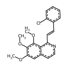 COc1cc2ccnc(C=Cc3ccccc3Cl)c2c(OC)c1OC